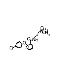 CN(C)CCCNC(=O)c1cccnc1Oc1ccc(Cl)cc1